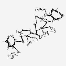 COc1ccccc1CC1NCCC(C(=O)C2CCNC(Cc3ccccc3OC)C2(C)C)C1(C)C